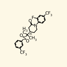 CC(C)([C@@H]1CCN(c2ccc(C(F)(F)F)cc2F)C(=O)C1)S(=O)(=O)c1cccc(C(F)(F)F)c1